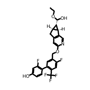 CCOC(O)[C@H]1[C@@H]2Cc3cc(OCc4cc(-c5ccc(O)cc5F)c(C(F)(F)F)cc4F)ncc3[C@@H]21